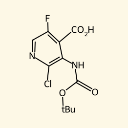 CC(C)(C)OC(=O)Nc1c(Cl)ncc(F)c1C(=O)O